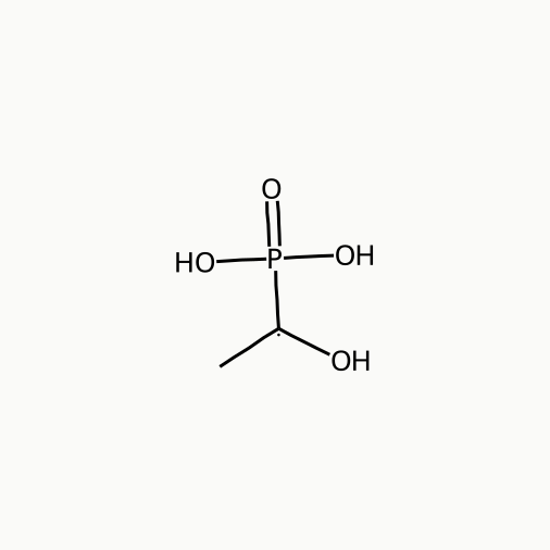 C[C](O)P(=O)(O)O